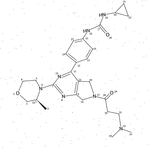 C[C@H]1COCCN1c1nc2c(c(-c3ccc(NC(=O)NC4CC4)cc3)n1)CN(C(=O)CCN(C)C)C2